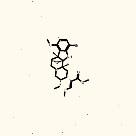 CC[C@@H]1CN2CC[C@]3(C)c4c(OC)ccc(Br)c4N[C@]3(OI)[C@@H]2C[C@@H]1/C(=C\OC)C(=O)OC